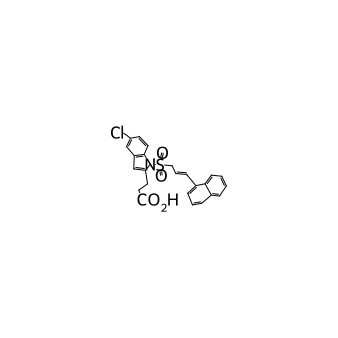 O=C(O)CCc1cc2cc(Cl)ccc2n1S(=O)(=O)CC=Cc1cccc2ccccc12